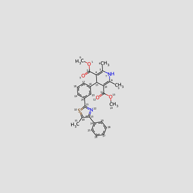 COC(=O)C1=C(C)NC(C)=C(C(=O)OC)C1c1cccc(-c2nc(-c3ccccc3)c(C)s2)c1